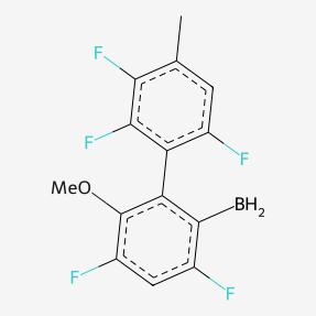 Bc1c(F)cc(F)c(OC)c1-c1c(F)cc(C)c(F)c1F